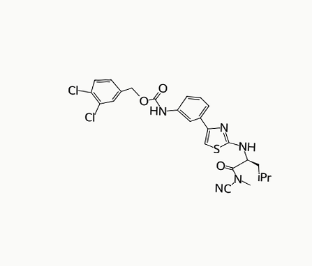 CC(C)C[C@H](Nc1nc(-c2cccc(NC(=O)OCc3ccc(Cl)c(Cl)c3)c2)cs1)C(=O)N(C)C#N